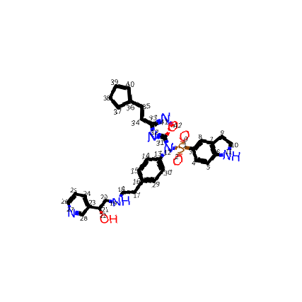 O=S(=O)(c1ccc2c(c1)CCN2)N(c1ccc(CCNCC(O)c2cccnc2)cc1)c1nc(CCC2CCCC2)no1